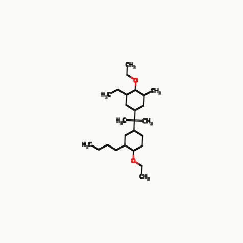 CCCCC1CC(C(C)(C)C2CC(C)C(OCC)C(CC)C2)CCC1OCC